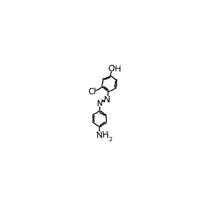 Nc1ccc(N=Nc2ccc(O)cc2Cl)cc1